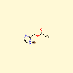 Br.CC(=O)OCc1ncc[nH]1